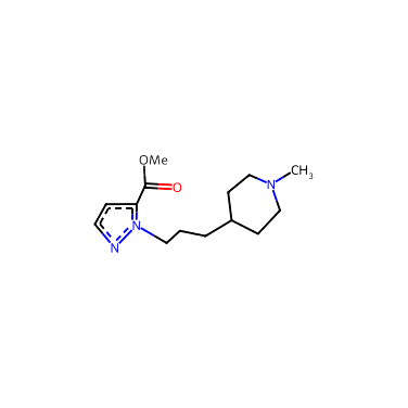 COC(=O)c1ccnn1CCCC1CCN(C)CC1